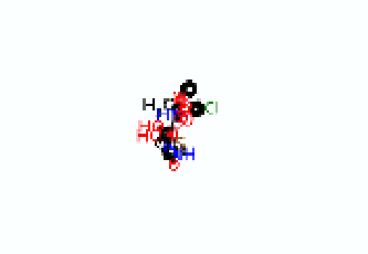 C[C@H](N[P@@](=O)(OC[C@H]1O[C@@H](n2ccc(=O)[nH]c2=S)[C@](C)(O)C1O)Oc1ccc(Cl)cc1)C(=O)OC1CCCCC1